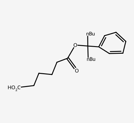 CCCCC(CCCC)(OC(=O)CCCCC(=O)O)c1ccccc1